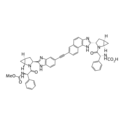 COC(=O)N[C@@H](C(=O)N1[C@@H]2C[C@H]2C[C@H]1c1nc2cc(C#Cc3ccc4c(ccc5nc([C@@H]6C[C@H]7C[C@H]7N6C(=O)[C@H](NC(=O)O)c6ccccc6)[nH]c54)c3)ccc2[nH]1)c1ccccc1